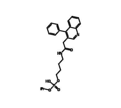 CC(C)OP(=O)(O)OCCCCNC(=O)Cc1cnc2ccccc2c1-c1ccccc1